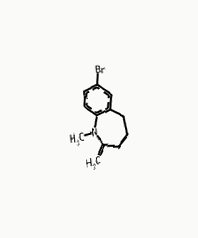 C=C1CCCc2cc(Br)ccc2N1C